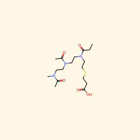 CCC(=O)N(CCSCCC(=O)O)CCN(CCN(C)C(C)=O)C(C)=O